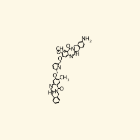 COc1cc2c(cc1OCc1cccc(COc3cc4c(cc3C)C(=O)N3Cc5ccccc5C[C@H]3C=N4)n1)N=C[C@@H]1Cc3ccc(N)cc3CN1C2=O